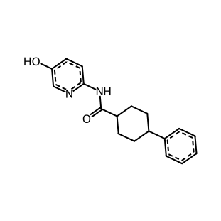 O=C(Nc1ccc(O)cn1)C1CCC(c2ccccc2)CC1